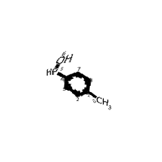 Cc1ccc(PO)cc1